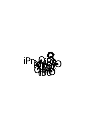 CC(C)C[C@@H](C(=O)N[C@H](C(=O)N(C)[C@@H](C)C(=O)N[C@@H](C)C(=O)OCc1ccccc1)C(C)C)N(C)C(=O)OC(C)(C)C